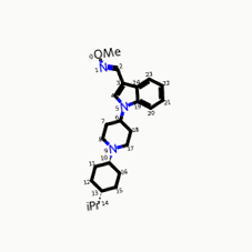 CON=Cc1cn(C2CCN([C@H]3CC[C@@H](C(C)C)CC3)CC2)c2ccccc12